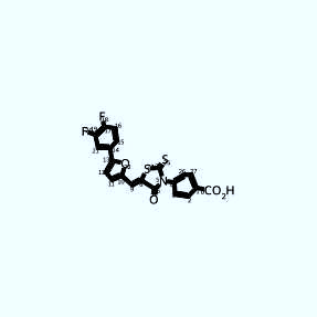 O=C(O)c1ccc(N2C(=O)C(=Cc3ccc(-c4ccc(F)c(F)c4)o3)SC2=S)cc1